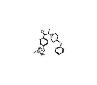 CC(C(=O)c1ccc(O[Si](C(C)C)(C(C)C)C(C)C)cc1)N1CCC(Sc2ccccc2)CC1